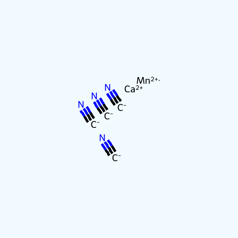 [C-]#N.[C-]#N.[C-]#N.[C-]#N.[Ca+2].[Mn+2]